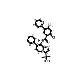 CC(C)(O)c1cnc2c(NC(=O)c3cc(-c4ccccn4)c(C(F)(F)F)cc3Cl)c(-c3ccccc3)ccn12